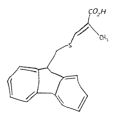 C/C(=C\SCC1c2ccccc2-c2ccccc21)C(=O)O